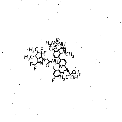 C[C@@H]1c2c(C(F)F)nn(CC(=O)N[C@@H](Cc3cc(F)cc(F)c3)c3nc(C#CC(C)(C)O)ccc3-c3ccc(Cl)c4c(NS(N)(=O)=O)nn(C)c34)c2C(F)(F)[C@@H]1C